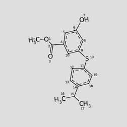 COC(=O)c1cc(O)cc(Sc2ccc(C(C)C)cc2)c1